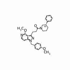 COc1ccc(Cn2nc(CCC(=O)N3CCC[C@H](c4ccccc4)C3)c3c(OC)nccc32)cc1